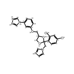 Clc1ccc(C2(Cn3ccnc3)OCC(COc3cccc(-n4cnnc4)c3)O2)c(Cl)c1